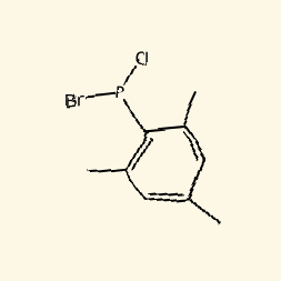 Cc1cc(C)c(P(Cl)Br)c(C)c1